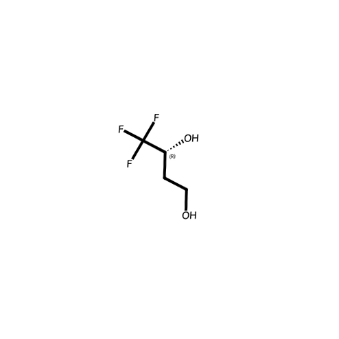 OCC[C@@H](O)C(F)(F)F